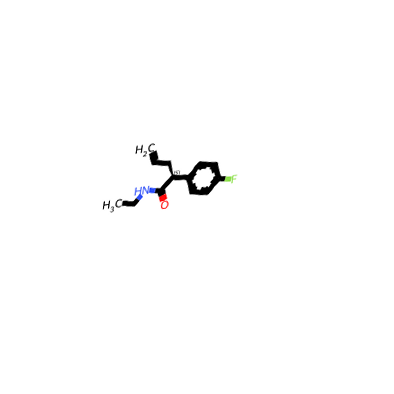 C=CC[C@H](C(=O)NCC)c1ccc(F)cc1